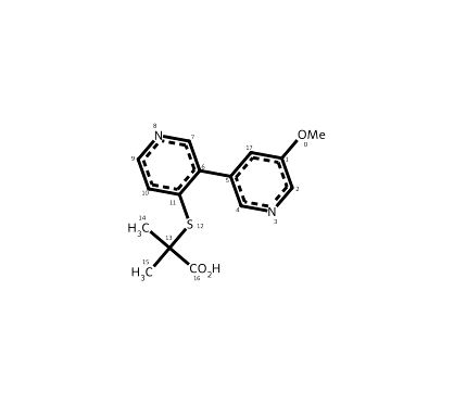 COc1cncc(-c2cnccc2SC(C)(C)C(=O)O)c1